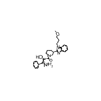 COCCCn1c(C2CCCN(C(=O)[C@H](O)[C@H](N)c3ccccc3)C2)nc2ccccc21